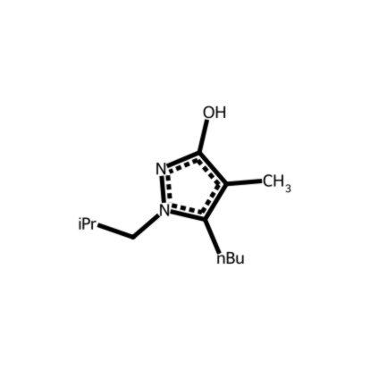 CCCCc1c(C)c(O)nn1CC(C)C